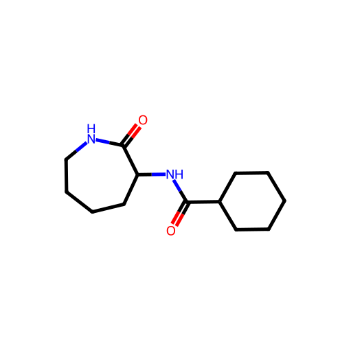 O=C(NC1CCCCNC1=O)C1CCCCC1